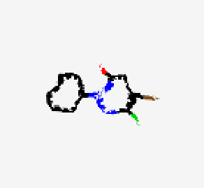 O=c1cc(Br)c(Cl)nn1-c1ccccc1